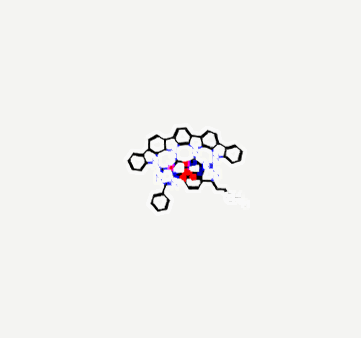 C=C/C=C(\N=C(/N)n1c2ccccc2c2ccc3c4ccc5c(c4n(-c4ccccc4)c3c21)N(c1ccccc1)C1c2c(c3ccccc3n2-c2nc(-c3ccccc3)nc(-c3ccccc3)n2)C=CC51)c1ccccc1